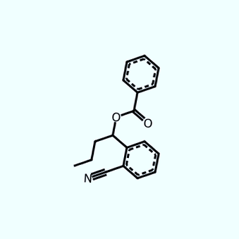 CCCC(OC(=O)c1ccccc1)c1ccccc1C#N